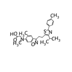 Cc1ccc(-c2nc(C(C)C)c(CCc3noc4cc(N(C)CC(=O)O)c(C)cc34)s2)cc1